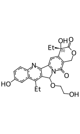 CCc1c2c(nc3ccc(O)cc13)-c1cc3c(c(=O)n1C2OCCO)COC(=O)[C@]3(O)CC